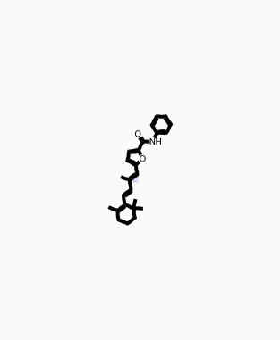 CC1=C(C=C/C(C)=C/c2ccc(C(=O)Nc3ccccc3)o2)C(C)(C)CCC1